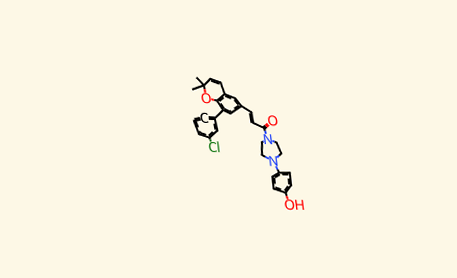 CC1(C)C=Cc2cc(/C=C/C(=O)N3CCN(c4ccc(O)cc4)CC3)cc(-c3cccc(Cl)c3)c2O1